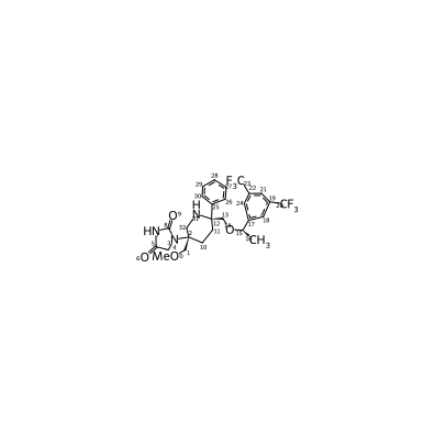 COC[C@]1(N2CC(=O)NC2=O)CC[C@@](CO[C@H](C)c2cc(C(F)(F)F)cc(C(F)(F)F)c2)(c2ccccc2)NC1